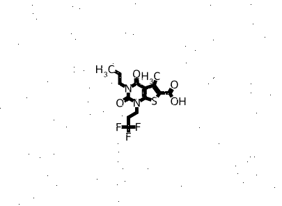 CCCn1c(=O)c2c(C)c(C(=O)O)sc2n(CCC(F)(F)F)c1=O